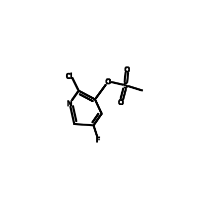 CS(=O)(=O)Oc1cc(F)cnc1Cl